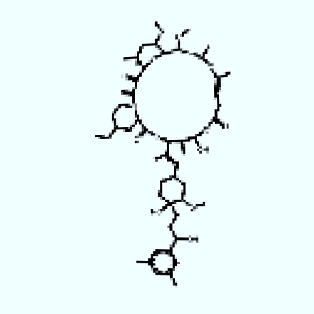 CCC1CCN2C(=O)C(=O)C3(O)OC(C(OC)CC(C)C/C(C)=C/CC(=O)CC(O)C(C)C(C(C)=CC4CCC(O)(CCC(O)c5cc(C)cc(C)c5)C(OC)C4)OC(=O)C2C1)C(OC)CC3C